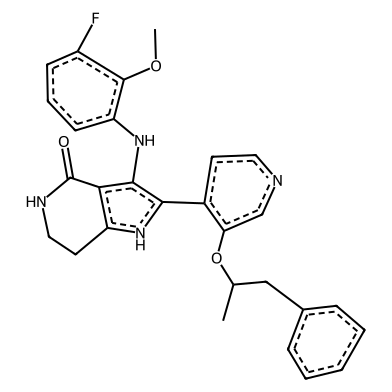 COc1c(F)cccc1Nc1c(-c2ccncc2OC(C)Cc2ccccc2)[nH]c2c1C(=O)NCC2